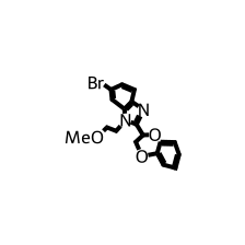 COCCn1c(C2COc3ccccc3O2)nc2ccc(Br)cc21